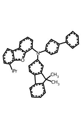 CC(C)c1cccc2c1oc1c(N(c3ccc(-c4ccccc4)cc3)c3ccc4c(c3)C(C)(C)c3ccccc3-4)cccc12